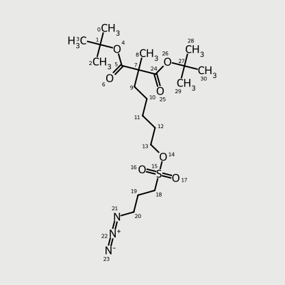 CC(C)(C)OC(=O)C(C)(CCCCCOS(=O)(=O)CCCN=[N+]=[N-])C(=O)OC(C)(C)C